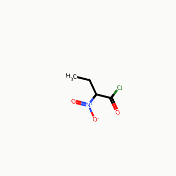 CCC(C(=O)Cl)[N+](=O)[O-]